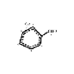 O=Cc1ccccc1.[Ce]